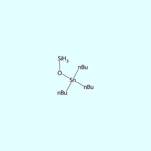 CCC[CH2][Sn]([CH2]CCC)([CH2]CCC)[O][SiH3]